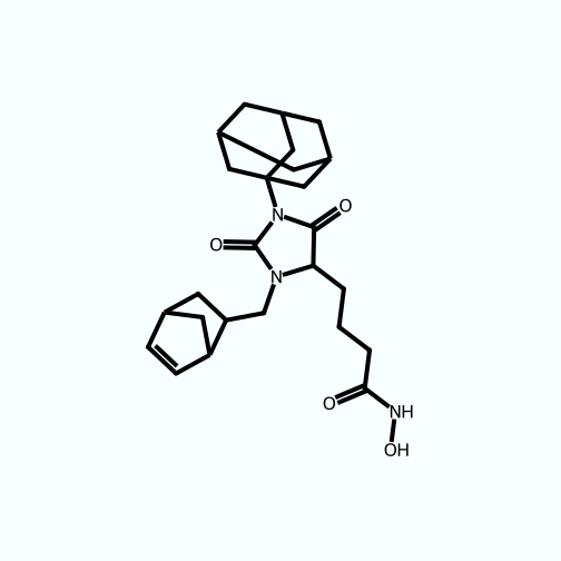 O=C(CCCC1C(=O)N(C23CC4CC(CC(C4)C2)C3)C(=O)N1CC1CC2C=CC1C2)NO